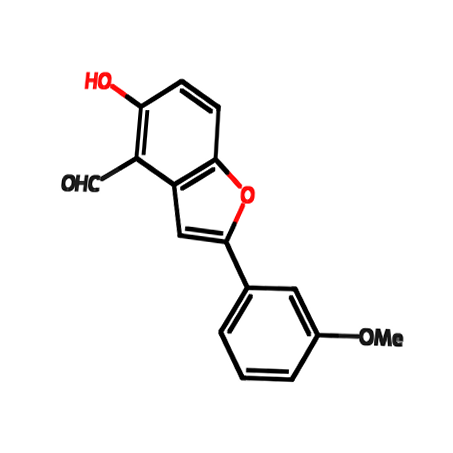 COc1cccc(-c2cc3c(C=O)c(O)ccc3o2)c1